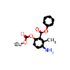 Cc1c(N)ccc(OC(=O)OC(C)(C)C)c1C(=O)Oc1ccccc1